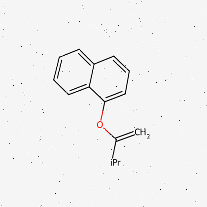 C=C(Oc1cccc2ccccc12)C(C)C